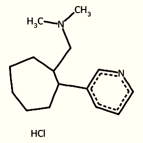 CN(C)CC1CCCCCC1c1cccnc1.Cl